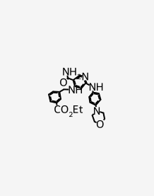 CCOC(=O)c1cccc(CNc2cc(Nc3ccc(N4CCOCC4)cc3)ncc2C(N)=O)c1